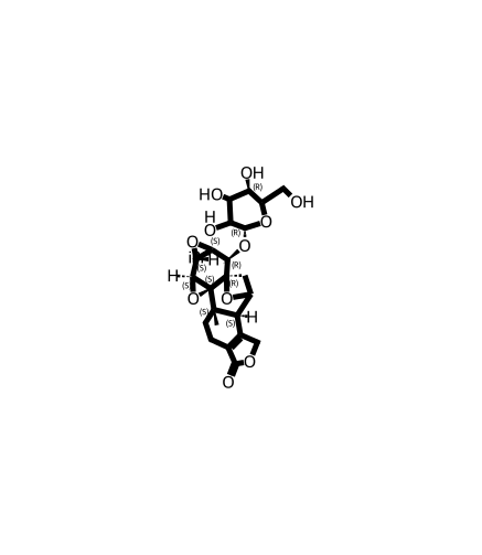 CC(C)[C@]12O[C@H]1[C@@H]1O[C@@]13[C@@]1(C)CCC4=C(COC4=O)[C@@H]1C1C[C@@]3(O1)[C@@H]2O[C@H]1OC(CO)[C@H](O)C(O)C1O